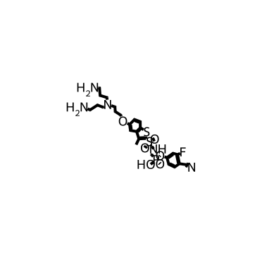 Cc1c(S(=O)(=O)NCP(=O)(O)Oc2ccc(C#N)c(F)c2)sc2ccc(OCCCN(CCCN)CCCN)cc12